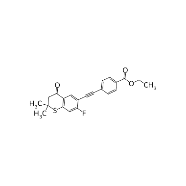 CCOC(=O)c1ccc(C#Cc2cc3c(cc2F)SC(C)(C)CC3=O)cc1